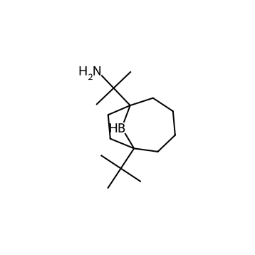 CC(C)(C)C12BC(C(C)(C)N)(CCCC1)CC2